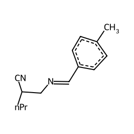 CCCC(C#N)CN=Cc1ccc(C)cc1